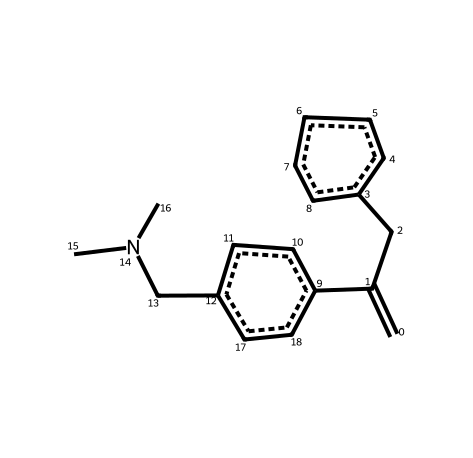 C=C(Cc1ccccc1)c1ccc(CN(C)C)cc1